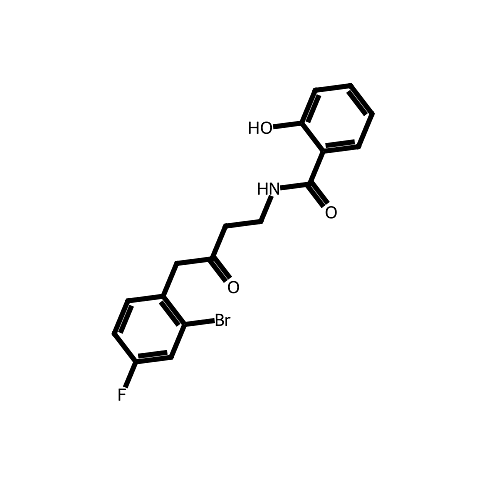 O=C(CCNC(=O)c1ccccc1O)Cc1ccc(F)cc1Br